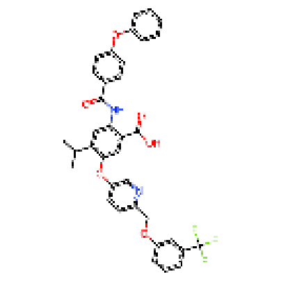 CC(C)c1cc(NC(=O)c2ccc(Oc3ccccc3)cc2)c(C(=O)O)cc1Oc1ccc(COc2cccc(C(F)(F)F)c2)nc1